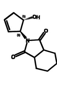 O=C1C2CCCCC2C(=O)N1[C@H]1C=CC[C@@H]1O